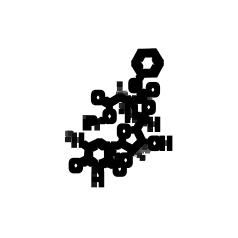 [2H]c1cn(C2OC(C([2H])([2H])O[P@@](=O)(N[C@@H](C)C(=O)OC(C)C)Oc3ccccc3)[C@@H](O)[C@@]2(C)O)c(=O)[nH]c1=O